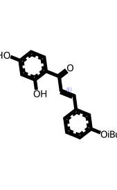 CC(C)COc1cccc(/C=C/C(=O)c2ccc(O)cc2O)c1